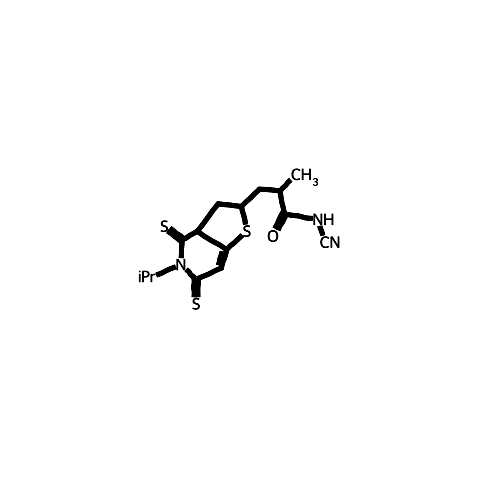 CC(CC1CC2C(=S)N(C(C)C)C(=S)C=C2S1)C(=O)NC#N